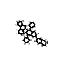 c1ccc(-c2c3c(c(-c4ccccc4)c4cc(-c5ccc6ccncc6c5)ccc24)-c2cccc4c2c-3cc2ccccc24)cc1